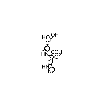 Cc1cc(OCC(O)CO)ccc1NC1=C(C(=O)O)C(=O)C(=Cc2c[nH]c3ncccc23)O1